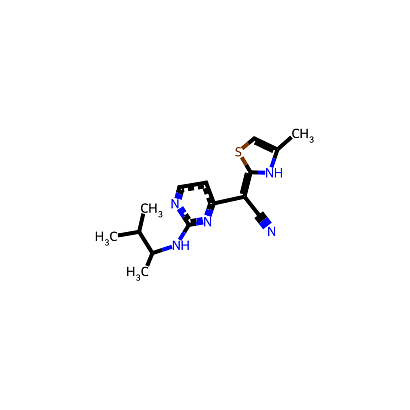 CC1=CS/C(=C(/C#N)c2ccnc(NC(C)C(C)C)n2)N1